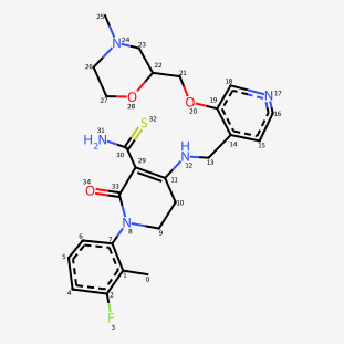 Cc1c(F)cccc1N1CCC(NCc2ccncc2OCC2CN(C)CCO2)=C(C(N)=S)C1=O